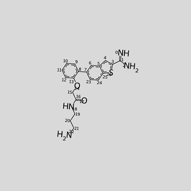 N=C(N)c1cc2cc(-c3ccccc3OCC(=O)NCCCN)ccc2s1